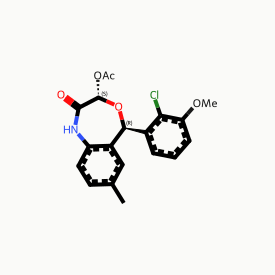 COc1cccc([C@@H]2O[C@@H](OC(C)=O)C(=O)Nc3ccc(C)cc32)c1Cl